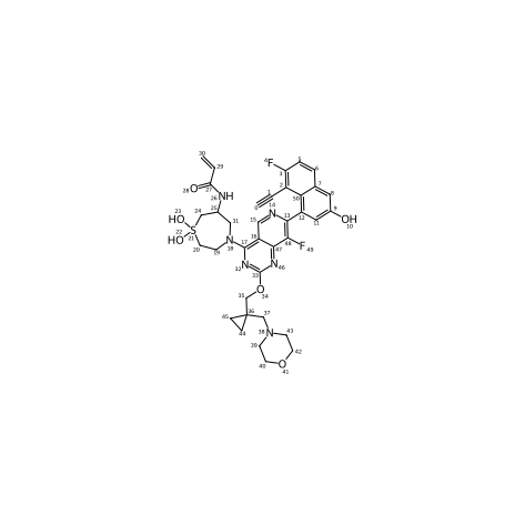 C#Cc1c(F)ccc2cc(O)cc(-c3ncc4c(N5CCS(O)(O)CC(NC(=O)C=C)C5)nc(OCC5(CN6CCOCC6)CC5)nc4c3F)c12